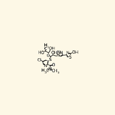 C[C@@H](O)C(CO)OC(Sc1cc(Cl)cnc1C(=O)N(C)C)[C@@H](O)Cn1cc(-c2csc(O)n2)nn1